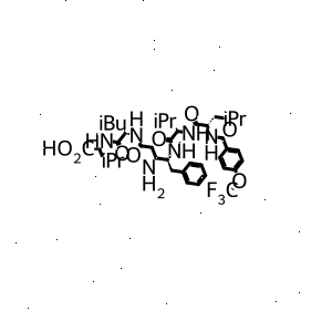 CC[C@H](C)[C@H](NC(=O)C[C@H](N)[C@H](Cc1ccccc1)NC(=O)[C@@H](NC(=O)[C@H](CC(C)C)NC(=O)c1ccc(OC(F)(F)F)cc1)C(C)C)C(=O)N[C@H](C(=O)O)C(C)C